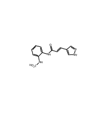 O=C(O)Nc1ccccc1NC(=O)C=Cc1cn[nH]c1